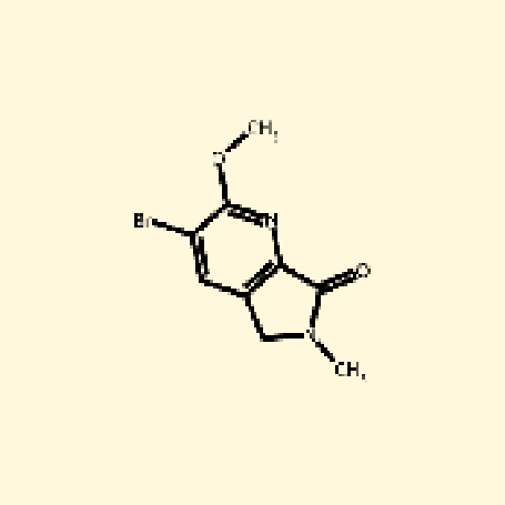 COc1nc2c(cc1Br)CN(C)C2=O